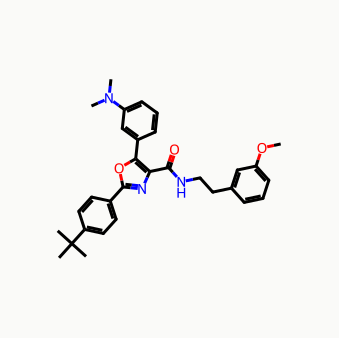 COc1cccc(CCNC(=O)c2nc(-c3ccc(C(C)(C)C)cc3)oc2-c2cccc(N(C)C)c2)c1